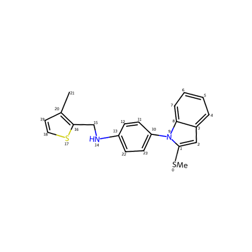 CSc1cc2ccccc2n1-c1ccc(NCc2sccc2C)cc1